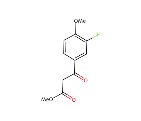 COC(=O)CC(=O)c1ccc(OC)c(F)c1